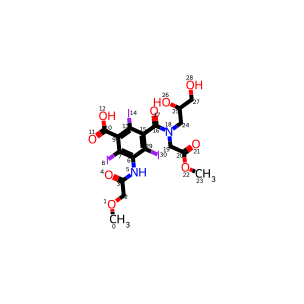 COCC(=O)Nc1c(I)c(C(=O)O)c(I)c(C(=O)N(CC(=O)OC)CC(O)CO)c1I